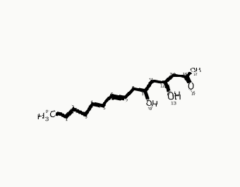 CCCCCC/C=C/CC(O)CC(O)CC(=O)O